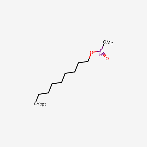 CCCCCCCCCCCCCCCO[PH](=O)OC